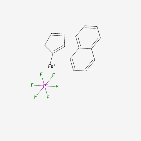 F[P-](F)(F)(F)(F)F.[Fe+][C]1=CC=CC1.c1ccc2ccccc2c1